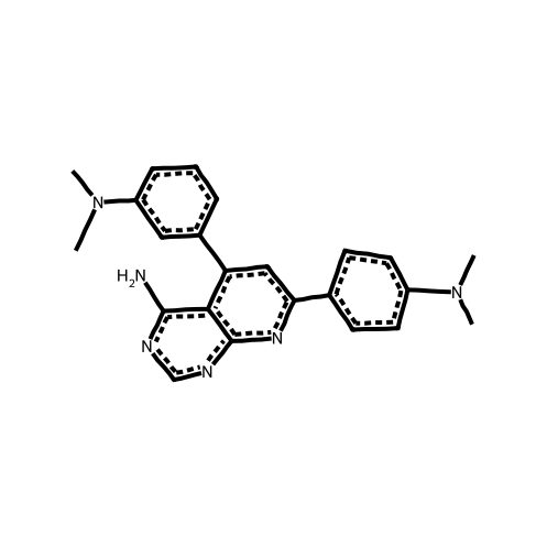 CN(C)c1ccc(-c2cc(-c3cccc(N(C)C)c3)c3c(N)ncnc3n2)cc1